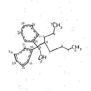 CCCCC(CCC)C(O)(c1ccccc1)c1ccccc1